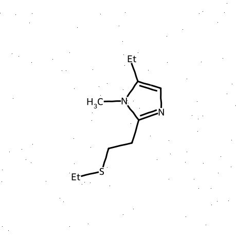 CCSCCc1ncc(CC)n1C